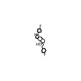 C[C@]12Cc3cnn(-c4ccc(F)cc4)c3C=C1CC[C@@]2(O)CCc1ccc(F)cc1